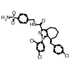 NS(=O)(=O)c1ccc(CNC(=O)c2nn(-c3ccc(Cl)cc3Cl)c3c2CCCCC3=Cc2ccc(Cl)cc2)cc1